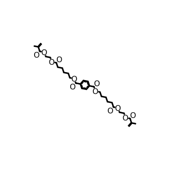 C=C(C)C(=O)OCCOC(=O)CCCCCOC(=O)c1ccc(C(=O)OCCCCCC(=O)OCCOC(=O)C(=C)C)cc1